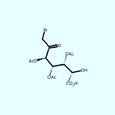 CC(=O)O[C@@H]([C@H](OC(C)=O)[C@@H](OC(C)=O)C(=O)CBr)[C@H](O)C(=O)O